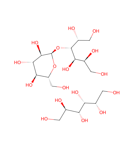 OC[C@@H](O)[C@@H](O)[C@H](O)[C@@H](O)CO.OC[C@@H](O)[C@@H](O[C@H]1O[C@H](CO)[C@@H](O)[C@H](O)[C@H]1O)[C@H](O)[C@@H](O)CO